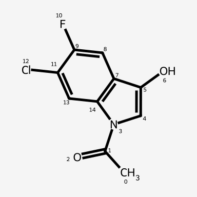 CC(=O)n1cc(O)c2cc(F)c(Cl)cc21